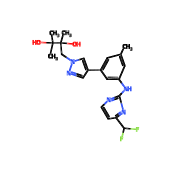 Cc1cc(Nc2nccc(C(F)F)n2)cc(-c2cnn(CC(C)(O)C(C)(C)O)c2)c1